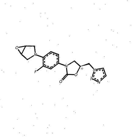 O=C1O[C@H](Cn2ccnn2)CN1c1ccc(N2CC3OC3C2)c(F)c1